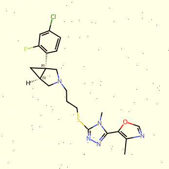 Cc1ncoc1-c1nnc(SCCCN2C[C@H]3C[C@@]3(c3ccc(Cl)cc3F)C2)n1C